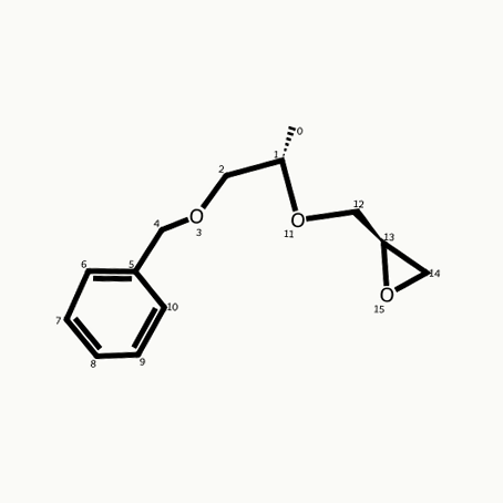 C[C@@H](COCc1ccccc1)OC[C@H]1CO1